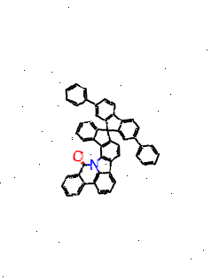 O=c1c2ccccc2c2cccc3c4ccc5c(c4n1c23)-c1ccccc1C51c2cc(-c3ccccc3)ccc2-c2ccc(-c3ccccc3)cc21